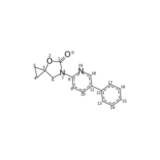 O=C1OC2(CC2)CN1c1ccc(-c2ccccc2)cn1